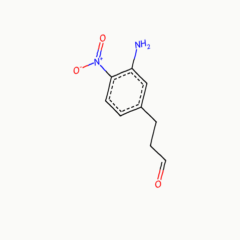 Nc1cc(CCC=O)ccc1[N+](=O)[O-]